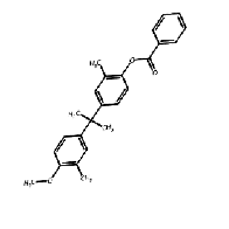 COc1ccc(C(C)(C)c2ccc(OC(=O)c3ccccc3)c(C)c2)cc1C